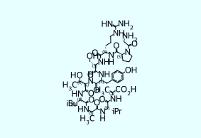 CC[C@H](C)[C@H](NC(=O)[C@@H](NC(=O)[C@H](Cc1ccc(O)cc1)NC(=O)[C@H](CO)NC(=O)[C@H](CCCNC(=N)N)NC(=O)[C@@H]1CCCN1C(=O)CN)[C@@H](C)O)C(=O)N[C@@H](C)C(=O)N[C@H](C(=O)N[C@@H](C)C(=O)O)C(C)C